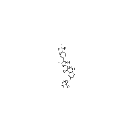 Cc1nc(NC(=O)c2cc(CNC(=O)C(C)(C)C)ccc2Cl)[nH]c1-c1ccc(C(F)(F)F)nc1